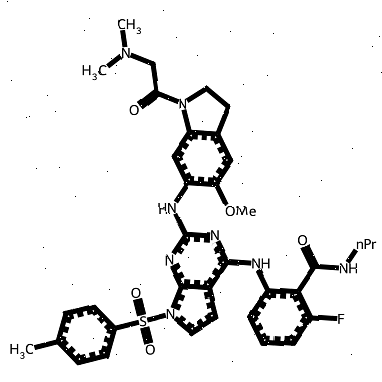 CCCNC(=O)c1c(F)cccc1Nc1nc(Nc2cc3c(cc2OC)CCN3C(=O)CN(C)C)nc2c1ccn2S(=O)(=O)c1ccc(C)cc1